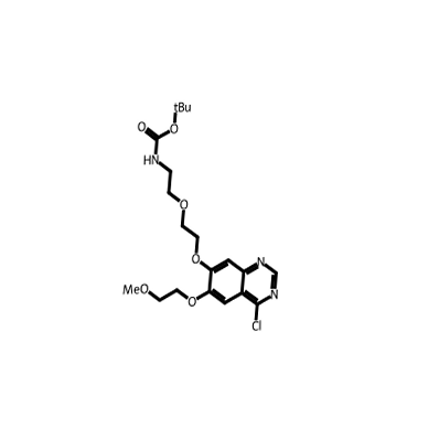 COCCOc1cc2c(Cl)ncnc2cc1OCCOCCNC(=O)OC(C)(C)C